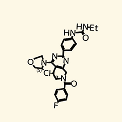 CCNC(=O)Nc1ccc(-c2nc3c(c(N4CCOC[C@@H]4C)n2)CCN(C(=O)c2ccc(F)cc2)C3)cc1